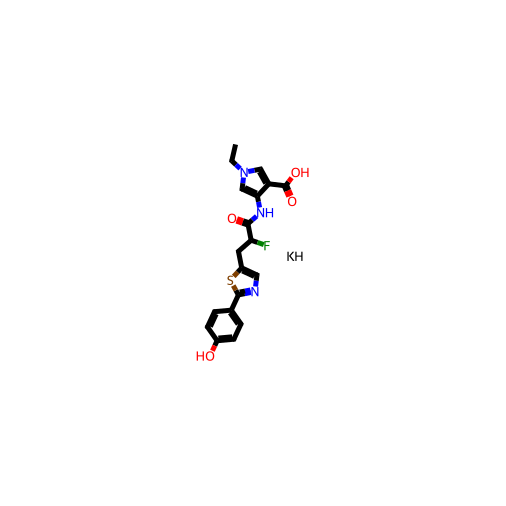 CCn1cc(NC(=O)C(F)Cc2cnc(-c3ccc(O)cc3)s2)c(C(=O)O)c1.[KH]